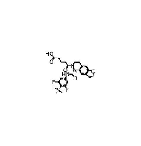 CS(C)(C)c1c(F)cc(NC(=O)[C@H]2c3cc4c(cc3CCN2C(=O)CCCC(=O)O)OCC4)cc1F